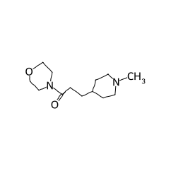 CN1CCC(CCC(=O)N2CCOCC2)CC1